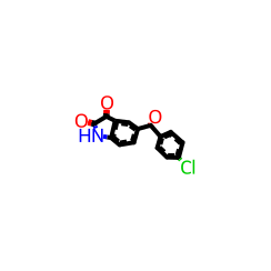 O=C1Nc2ccc(C(=O)c3ccc(Cl)cc3)cc2C1=O